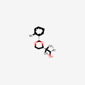 CC[C@H](O)C(C)(C)[C@@H]1CCO[C@H](c2ccccc2C#N)O1